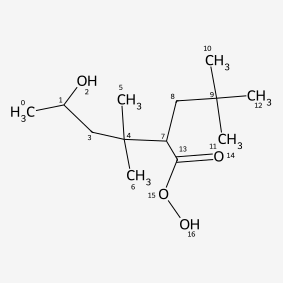 CC(O)CC(C)(C)C(CC(C)(C)C)C(=O)OO